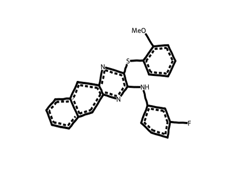 COc1ccccc1Sc1nc2cc3ccccc3cc2nc1Nc1cccc(F)c1